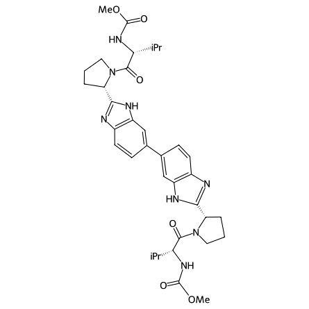 COC(=O)N[C@@H](C(=O)N1CCC[C@H]1c1nc2ccc(-c3ccc4nc([C@@H]5CCCN5C(=O)[C@H](NC(=O)OC)C(C)C)[nH]c4c3)cc2[nH]1)C(C)C